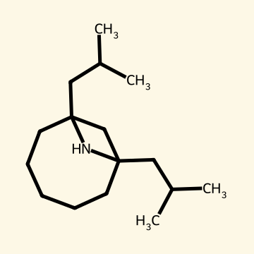 CC(C)CC12CCCCCC(CC(C)C)(C1)N2